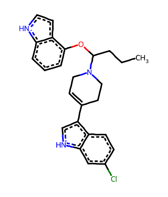 CCCC(Oc1cccc2[nH]ccc12)N1CC=C(c2c[nH]c3cc(Cl)ccc23)CC1